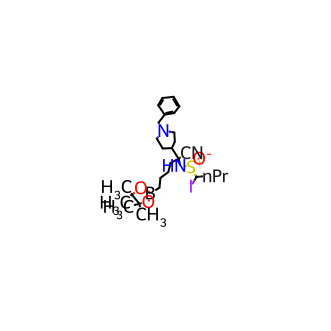 CCCC(I)[S+]([O-])NC(C#N)(CCCCB1OC(C)(C)C(C)(C)O1)C1CCN(Cc2ccccc2)CC1